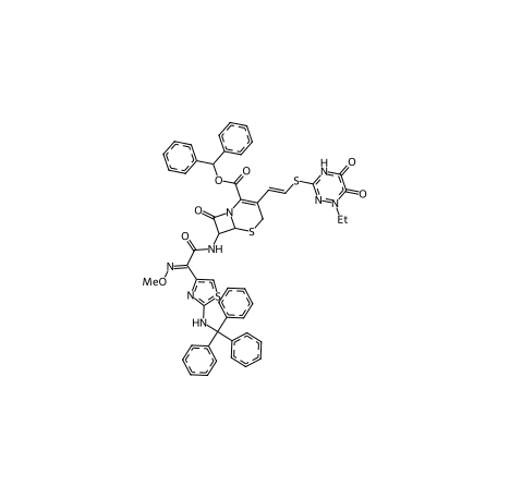 CCn1nc(S/C=C/C2=C(C(=O)OC(c3ccccc3)c3ccccc3)N3C(=O)C(NC(=O)/C(=N/OC)c4csc(NC(c5ccccc5)(c5ccccc5)c5ccccc5)n4)C3SC2)[nH]c(=O)c1=O